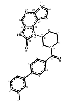 Cc1cccc(-c2ccc(C(=O)N3CCC[C@@H](n4c(=O)[nH]c5cnc6[nH]ccc6c54)C3)cc2)c1